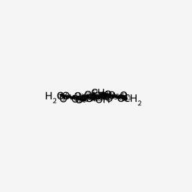 C=CC(=O)OCCCCOC(=O)Oc1ccc(C(=O)Oc2ccc(OC(O)c3ccc(OC(=O)OCCCCOC(=O)C=C)cc3)c(C)c2)cc1